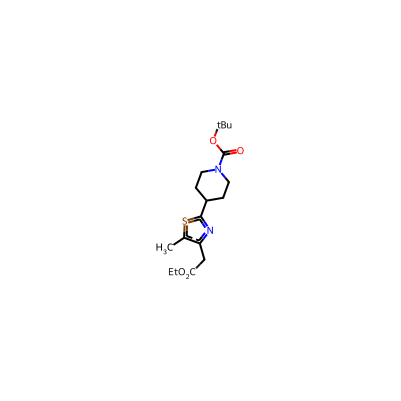 CCOC(=O)Cc1nc(C2CCN(C(=O)OC(C)(C)C)CC2)sc1C